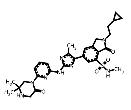 CNS(=O)(=O)c1cc(-c2sc(Nc3cccc(N4CC(C)(C)NCC4=O)n3)nc2C)cc2c1C(=O)N(CCC1CC1)C2